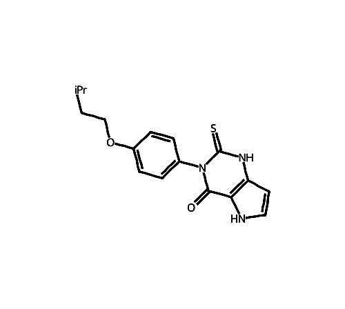 CC(C)CCOc1ccc(-n2c(=S)[nH]c3cc[nH]c3c2=O)cc1